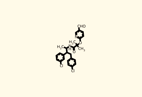 CC(NC(=O)C(C)(C)Oc1ccc(C=O)cn1)C(Cc1ccc(Cl)cc1)c1cccc(Cl)c1